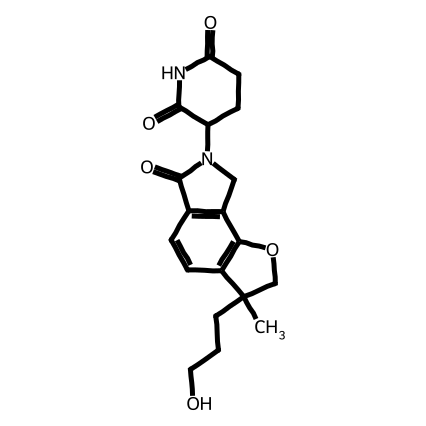 CC1(CCCO)COc2c1ccc1c2CN(C2CCC(=O)NC2=O)C1=O